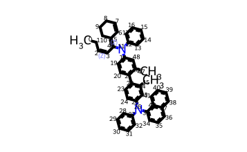 CC/C=C\C(=C1\C=CCCC1)N(c1ccccc1)c1ccc(-c2ccc(N(c3ccccc3)c3cccc4ccccc34)cc2C)c(C)c1